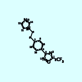 FC(F)(F)c1nc(-c2ccc(CCn3ccnc3)cc2)no1